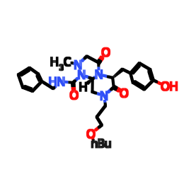 CCCCOCCCN1C[C@H]2N(C(=O)CN(C)N2C(=O)NCc2ccccc2)[C@@H](Cc2ccc(O)cc2)C1=O